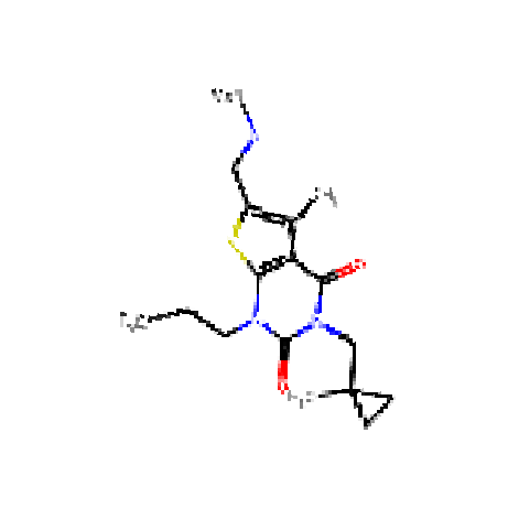 CNNCc1sc2c(c1C)c(=O)n(CC1(C)CC1)c(=O)n2CCC(F)(F)F